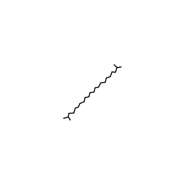 CC(C)CCCCCCCCCCCCCCCCCCC(C)C